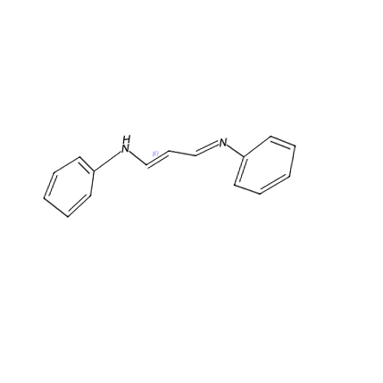 C(/C=C/Nc1ccccc1)=Nc1ccccc1